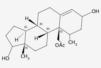 CC(=O)OC[C@@]12C(=CC(O)CC1C)CC[C@@H]1[C@H]2CC[C@]2(C)C(O)CC[C@@H]12